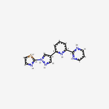 c1cnc(-c2cccc(-c3cnn(-c4nccs4)c3)n2)nc1